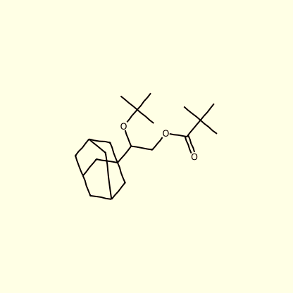 CC(C)(C)OC(COC(=O)C(C)(C)C)C12CC3CC(CC(C3)C1)C2